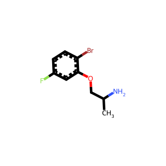 CC(N)COc1cc(F)ccc1Br